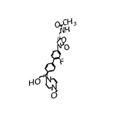 CC(=O)NC[C@H]1CN(c2ccc(-c3ccc([C@H](CO)N4CCN(C=O)CC4)cc3)c(F)c2)C(=O)O1